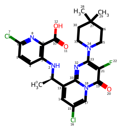 C[C@@H](Nc1ccc(Cl)nc1C(=O)O)c1cc(Cl)cn2c(=O)c(F)c(N3CCC(C)(C)CC3)nc12